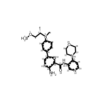 BOC[C@H](C)N(C)c1ccc(-c2cnc(N)c(C(=O)Nc3cnccc3N3CCOCC3)n2)cc1